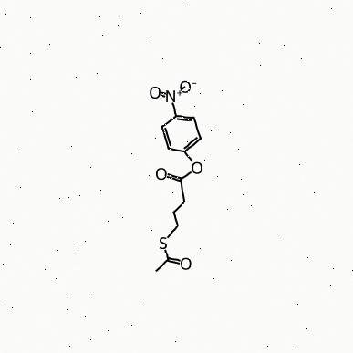 CC(=O)SCCCC(=O)Oc1ccc([N+](=O)[O-])cc1